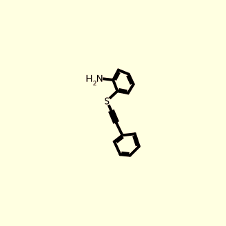 Nc1ccccc1SC#Cc1ccccc1